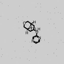 O=C(O)N1[C@@H]2COC[C@@H]1CC(Oc1cnccn1)C2